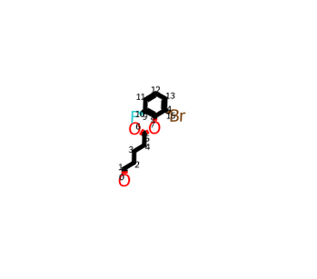 O=CCCCC(=O)Oc1c(F)cccc1Br